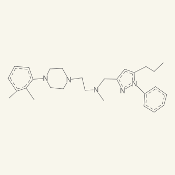 CCCc1cc(CN(C)CCN2CCN(c3cccc(C)c3C)CC2)nn1-c1ccccc1